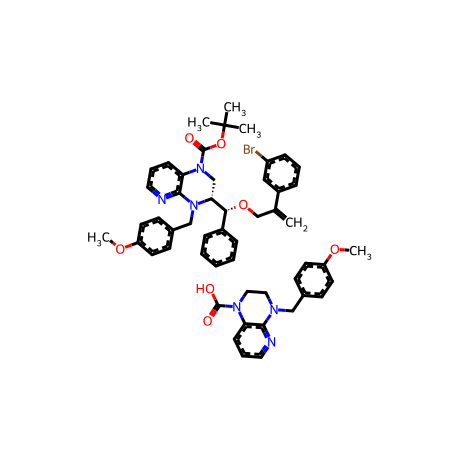 C=C(CO[C@H](c1ccccc1)[C@H]1CN(C(=O)OC(C)(C)C)c2cccnc2N1Cc1ccc(OC)cc1)c1cccc(Br)c1.COc1ccc(CN2CCN(C(=O)O)c3cccnc32)cc1